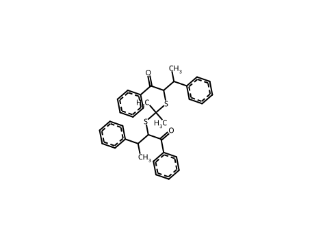 CC(c1ccccc1)C(SC(C)(C)SC(C(=O)c1ccccc1)C(C)c1ccccc1)C(=O)c1ccccc1